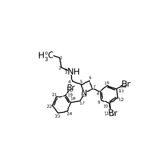 CCCNCC1CC(c2cc(Br)cc(Br)c2)N1CC1=C(Br)C=CCC1